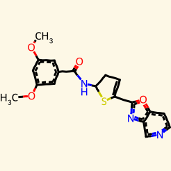 COc1cc(OC)cc(C(=O)NC2CC=C(c3nc4cnccc4o3)S2)c1